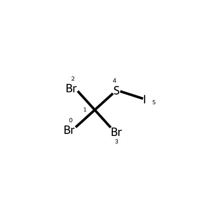 BrC(Br)(Br)SI